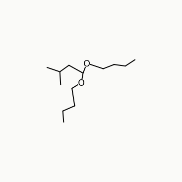 CCCCOC(CC(C)C)OCCCC